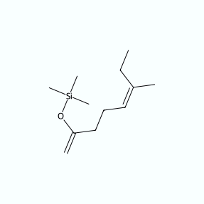 C=C(CCC=C(C)CC)O[Si](C)(C)C